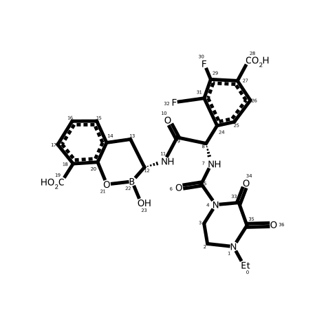 CCN1CCN(C(=O)N[C@H](C(=O)N[C@H]2Cc3cccc(C(=O)O)c3OB2O)c2ccc(C(=O)O)c(F)c2F)C(=O)C1=O